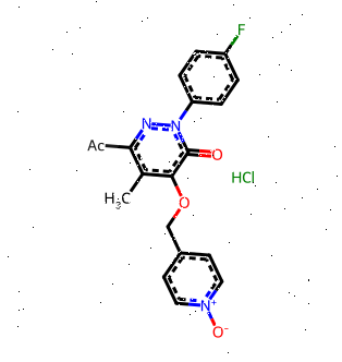 CC(=O)c1nn(-c2ccc(F)cc2)c(=O)c(OCc2cc[n+]([O-])cc2)c1C.Cl